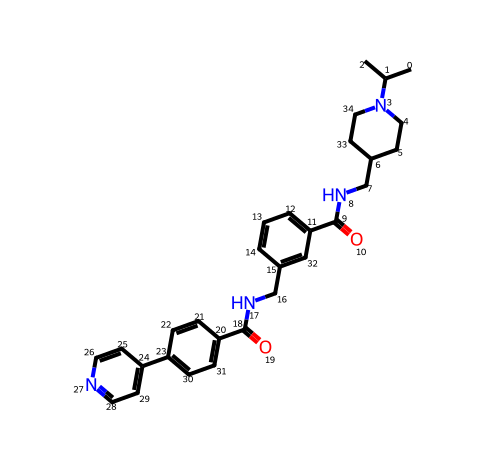 CC(C)N1CCC(CNC(=O)c2cccc(CNC(=O)c3ccc(-c4ccncc4)cc3)c2)CC1